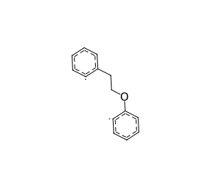 [c]1ccccc1CCOc1[c]cccc1